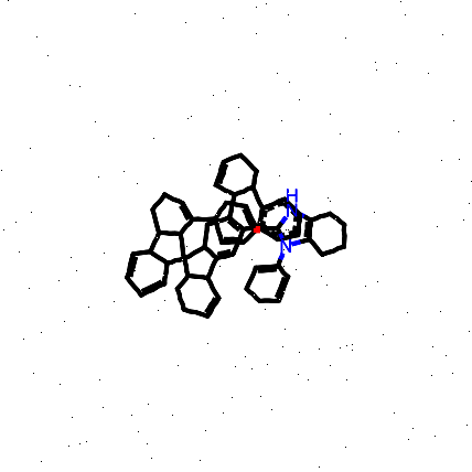 C1=CC2C3CCC=C(C4C=CC(C5NC6=C(CCCC6)N5C5=CCCC=C5)=CC4)C3C3(C4CC5=C(C=C4C4C=CCCC43)c3ccccc3C3CCC=CC53)C2C=C1